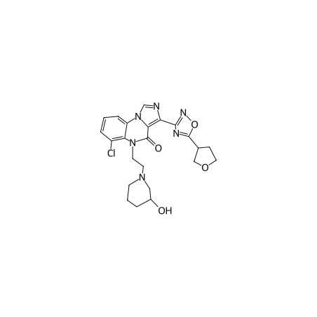 O=c1c2c(-c3noc(C4CCOC4)n3)ncn2c2cccc(Cl)c2n1CCN1CCCC(O)C1